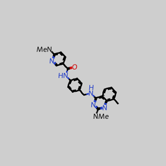 CNc1ccc(C(=O)Nc2ccc(CNc3nc(NC)nc4c(C)cccc34)cc2)cn1